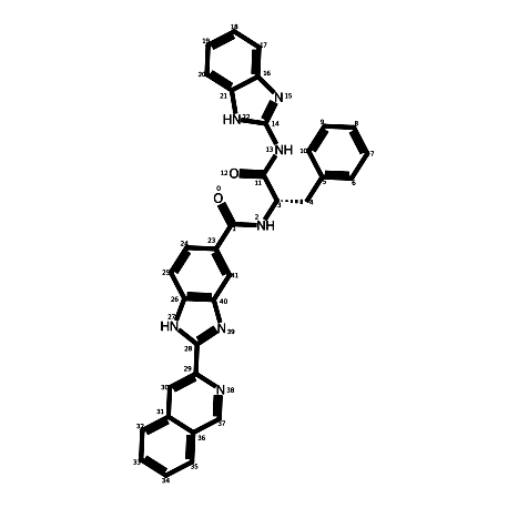 O=C(N[C@@H](Cc1ccccc1)C(=O)Nc1nc2ccccc2[nH]1)c1ccc2[nH]c(-c3cc4ccccc4cn3)nc2c1